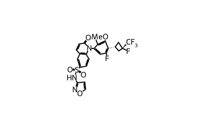 COc1cc([C@H]2C[C@](F)(C(F)(F)F)C2)c(F)cc1-n1c(=O)ccc2cc(S(=O)(=O)Nc3ccon3)ccc21